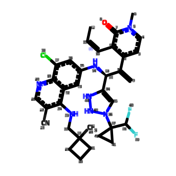 C=C(c1ccn(C)c(=O)c1/C=C\C)[C@H](Nc1cc(Cl)c2ncc(C#N)c(NCC3(C(F)(F)F)CCC3)c2c1)C1=CN(C2(C(F)F)CC2)NN1